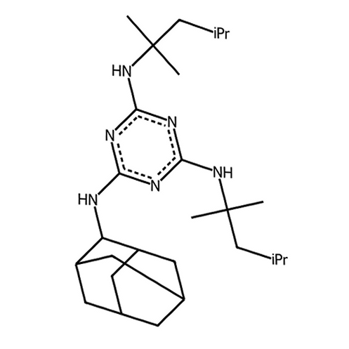 CC(C)CC(C)(C)Nc1nc(NC2C3CC4CC(C3)CC2C4)nc(NC(C)(C)CC(C)C)n1